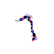 Cc1c(Nc2ccc(S(=O)(=O)N3CCN(C)CC3)cc2F)nc2ccc(-c3cnn(C4CN(CCCCN5CCN(c6ccc7c(c6)C(=O)N(C6CCC(=O)NC6=O)C7=O)CC5)C4)c3)cn2c1=O